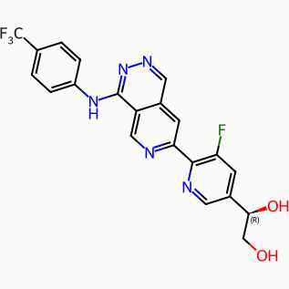 OC[C@H](O)c1cnc(-c2cc3cnnc(Nc4ccc(C(F)(F)F)cc4)c3cn2)c(F)c1